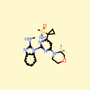 CNc1nc2ccccc2n1-c1nc(N2CCOC[C@H]2C)cc(C2(S(C)(=N)=O)CC2)n1